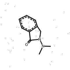 CN(C)N1Cc2ccccc2C1=O